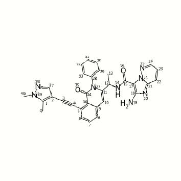 Cc1c(C#Cc2cccc3cc(C(C)NC(=O)c4c(N)nc5cccnn45)n(-c4ccccc4)c(=O)c23)cnn1C